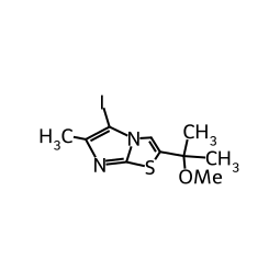 COC(C)(C)c1cn2c(I)c(C)nc2s1